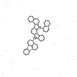 c1ccc2c(c1)-c1cccc3c(-n4c5ccccc5c5c4ccc4c6c7ccccc7ccc6n(-c6cccc7ccccc67)c45)ccc-2c13